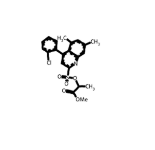 COC(=O)C(C)OS(=O)(=O)c1cc(-c2ccccc2Cl)c2c(C)cc(C)cc2n1